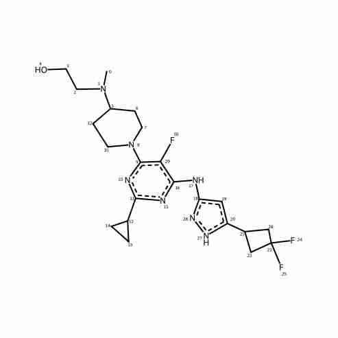 CN(CCO)C1CCN(c2nc(C3CC3)nc(Nc3cc(C4CC(F)(F)C4)[nH]n3)c2F)CC1